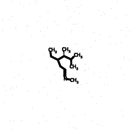 CCC(C/C=N/C)[C@H](C)C(C)C